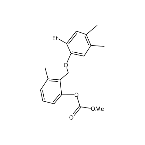 CCc1cc(C)c(C)cc1OCc1c(C)cccc1OC(=O)OC